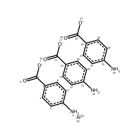 Nc1ccc(C(=O)[O-])cc1.Nc1ccc(C(=O)[O-])cc1.Nc1ccc(C(=O)[O-])cc1.[Al+3]